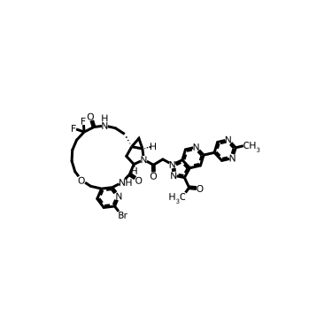 CC(=O)c1nn(CC(=O)N2[C@H]3C[C@@]4(CCNC(=O)C(F)(F)CCCCOCc5ccc(Br)nc5NC3=O)C[C@@H]24)c2cnc(-c3cnc(C)nc3)cc12